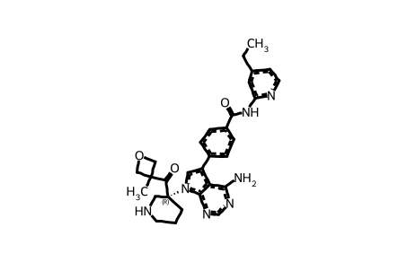 CCc1ccnc(NC(=O)c2ccc(-c3cn([C@]4(C(=O)C5(C)COC5)CCCNC4)c4ncnc(N)c34)cc2)c1